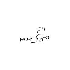 O=c1cc(CO)c2cc(O)ccc2o1